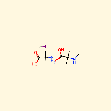 CC(C)(N)C(=O)O.CI.CNC(C)(C)C(=O)O